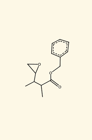 CC(C(=O)OCc1ccccc1)C(C)C1CO1